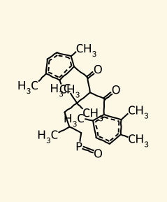 Cc1ccc(C)c(C(=O)C(C(=O)c2c(C)ccc(C)c2C)C(C)(C)CC(C)CP=O)c1C